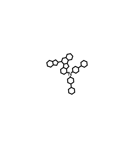 C1CCC(C2CCC(N(C3CCC(C4CCCCC4)CC3)C3CCCC4C3CC3C5CCCCC5CC(C5CC6CCCCC6C5)C34)CC2)CC1